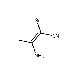 C/C(N)=C(\Br)C#N